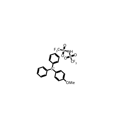 COc1ccc([S+](c2ccccc2)c2ccccc2)cc1.O=S(=O)(NS(=O)(=O)C(F)(F)F)C(F)(F)F